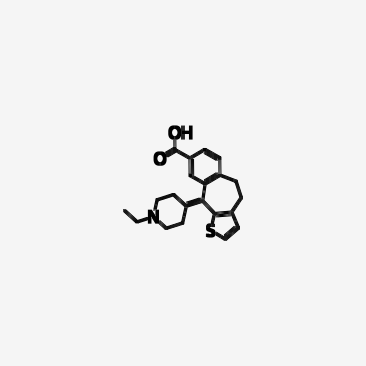 CCN1CCC(=C2c3cc(C(=O)O)ccc3CCc3ccsc32)CC1